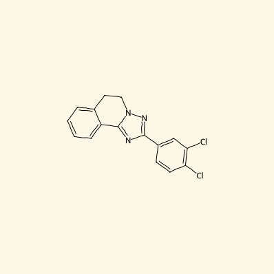 Clc1ccc(-c2nc3n(n2)CCc2ccccc2-3)cc1Cl